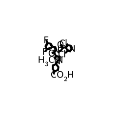 Cc1c(C(=O)N(CC(=O)c2c(Cl)cncc2Cl)Cc2cc(F)cc(F)c2)cnn1C1CCC(C(=O)O)CC1